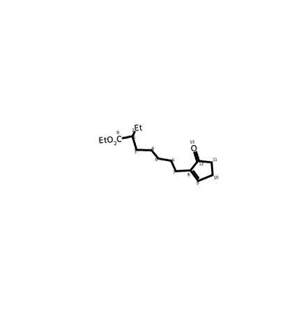 CCOC(=O)C(CC)CCCCCC1=CCCC1=O